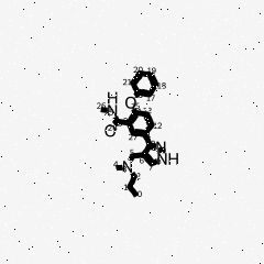 CCCN(C)Cc1c[nH]nc1-c1ccc(Oc2ccccc2)c(C(=O)NC)c1